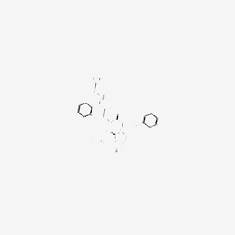 CC[C@@H](C)[C@@]1(NC(C)=O)CCN([C@@H](CCc2ccccc2)C(=O)N[C@@H](Cc2ccccc2)[C@H](O)CNCC2CC2)C1=O